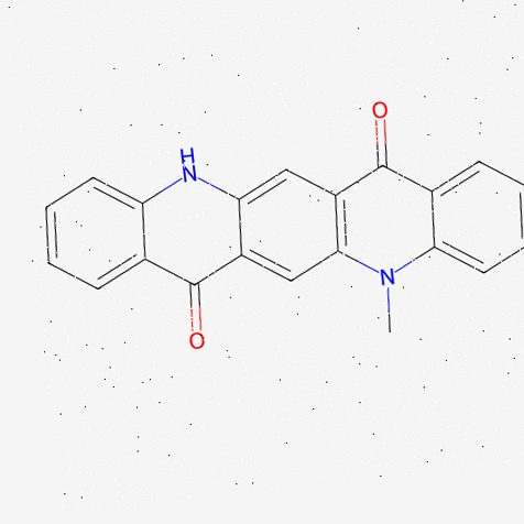 Cn1c2ccccc2c(=O)c2cc3[nH]c4ccccc4c(=O)c3cc21